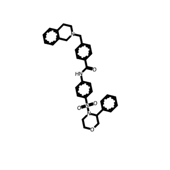 O=C(Nc1ccc(S(=O)(=O)N2CCOCC2c2ccccc2)cc1)c1ccc(CN2CCc3ccccc3C2)cc1